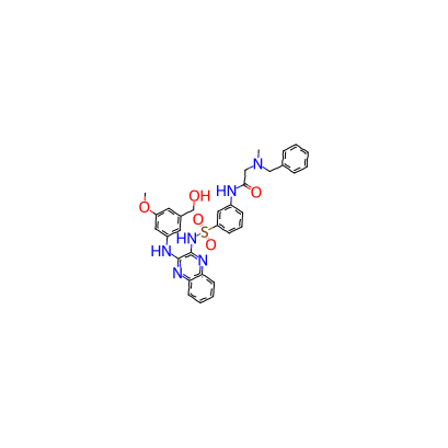 COc1cc(CO)cc(Nc2nc3ccccc3nc2NS(=O)(=O)c2cccc(NC(=O)CN(C)Cc3ccccc3)c2)c1